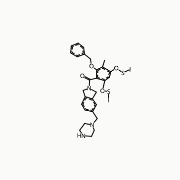 Cc1c(OSI)cc(OSI)c(C(=O)N2Cc3ccc(CN4CCNCC4)cc3C2)c1OCc1ccccc1